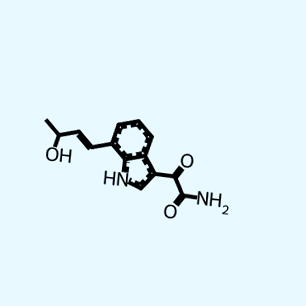 CC(O)/C=C/c1cccc2c(C(=O)C(N)=O)c[nH]c12